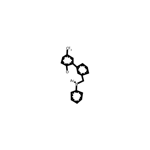 CC(=O)N(Cc1cccc(-c2cc(C(F)(F)F)ccc2[O])c1)c1ccccc1